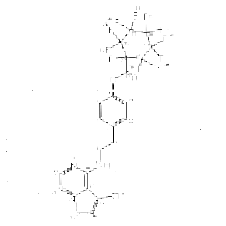 O=C(Oc1ccc(CCNc2ncnc3scc(Cl)c23)cc1)C1(F)C(F)(F)C(F)(F)C(F)(F)C(F)(F)C1(F)F